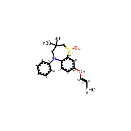 CCCCC1(CC)CN(c2ccccc2)c2ccc(O/C=C/C=O)cc2[S+]([O-])C1